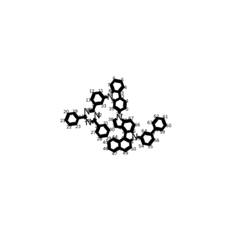 C1=CC2c3ccccc3N(c3cccc(-c4nc(-c5ccccc5)nc(-c5ccccc5)n4)c3)C2C=C1n1ccc2c3c4c5ccccc5ccc4n(-c4cccc(-c5ccccc5)c4)c3ccc21